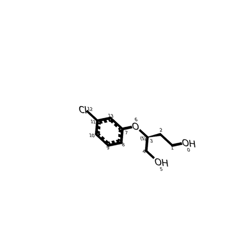 OCC[C@@H](CO)Oc1cccc(Cl)c1